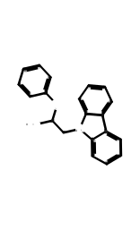 O=CC(Cn1c2ccccc2c2ccccc21)Oc1ccccc1